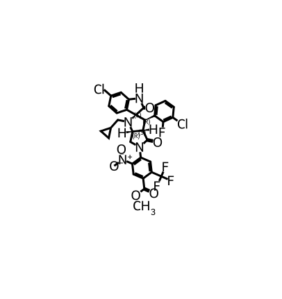 COC(=O)c1cc([N+](=O)[O-])c(N2C[C@H]3[C@@H](C2=O)[C@H](c2cccc(Cl)c2F)[C@]2(C(=O)Nc4cc(Cl)ccc42)N3CC2CC2)cc1C(F)(F)F